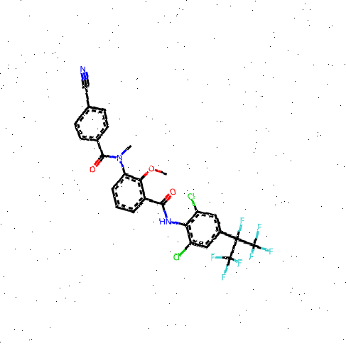 COc1c(C(=O)Nc2c(Cl)cc(C(F)(C(F)(F)F)C(F)(F)F)cc2Cl)cccc1N(C)C(=O)c1ccc(C#N)cc1